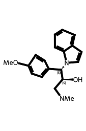 CNC[C@H](O)[C@H](c1ccc(OC)cc1)n1ccc2ccccc21